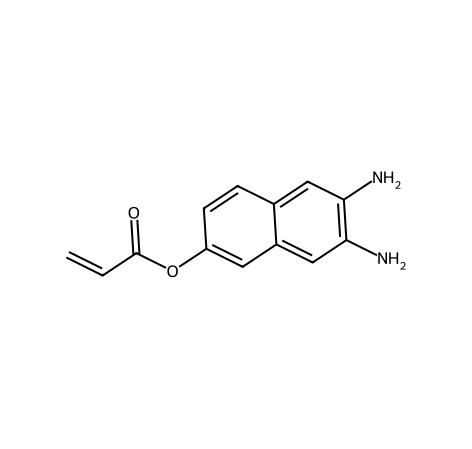 C=CC(=O)Oc1ccc2cc(N)c(N)cc2c1